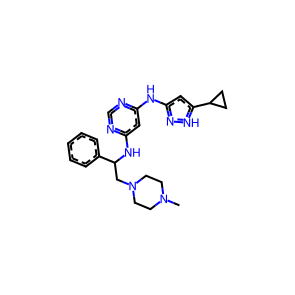 CN1CCN(CC(Nc2cc(Nc3cc(C4CC4)[nH]n3)ncn2)c2ccccc2)CC1